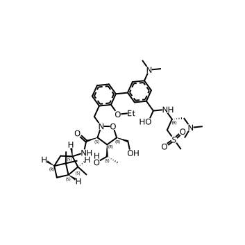 CCOc1c(CN2O[C@@H](CO)[C@@H]([C@H](C)O)[C@H]2C(=O)N[C@H]2C[C@H]3C[C@@H]([C@@H]2C)C3(C)C)cccc1-c1cc(C(O)N[C@H](CN(C)C)CS(C)(=O)=O)cc(N(C)C)c1